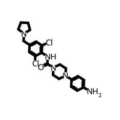 Nc1ccc(N2CCN(C(=O)Nc3c(Cl)cc(CN4CCCC4)cc3Cl)CC2)cc1